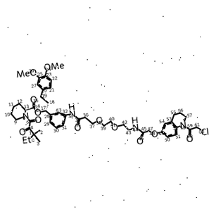 CCC(C)(C)C(=O)C(=O)N1CCCC[C@H]1C(=O)O[C@H](CCc1ccc(OC)c(OC)c1)c1cccc(NC(=O)CCOCCOCCNC(=O)COc2ccc3c(c2)CCCN3C(=O)CCl)c1